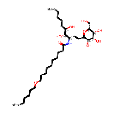 CCCCCCCCCCCCCCCOCCCCCCCCCC(=O)N[C@@H](CC[C@H]1O[C@H](CO)[C@H](O)[C@H](O)[C@H]1O)[C@H](O)[C@H](O)CCCCCCCCCCCCCC